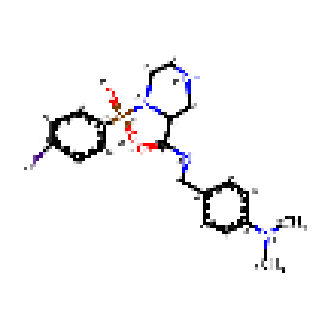 CN(C)c1ccc(CNC(=O)C2CNCCN2S(=O)(=O)c2ccc(I)cc2)cc1